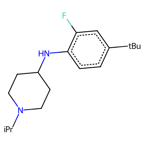 CC(C)N1CCC(Nc2ccc(C(C)(C)C)cc2F)CC1